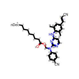 CCCCCCCCCCCCCCCCCC(=O)OCN(c1ccc(C#N)cc1)c1nccc(Nc2c(C)cc(/C=C/C#N)cc2C)n1